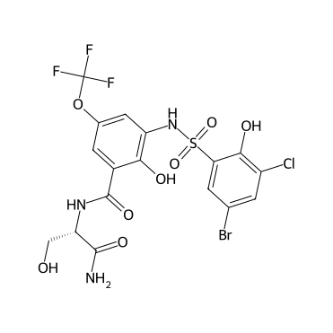 NC(=O)[C@H](CO)NC(=O)c1cc(OC(F)(F)F)cc(NS(=O)(=O)c2cc(Br)cc(Cl)c2O)c1O